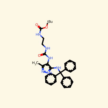 Cc1n[nH]c(NC(c2ccccc2)(c2ccccc2)c2ccccc2)c1NC(=O)NCCNC(=O)OC(C)(C)C